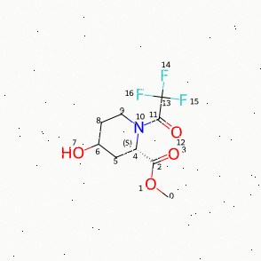 COC(=O)[C@@H]1CC(O)CCN1C(=O)C(F)(F)F